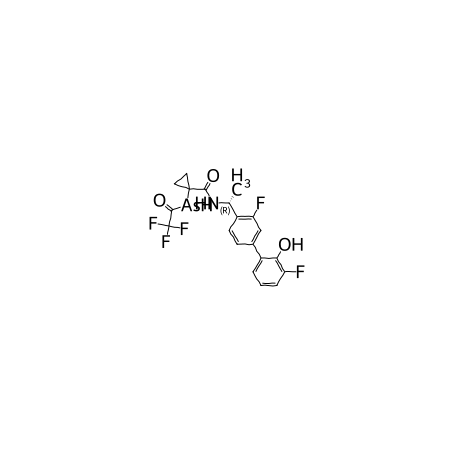 C[C@@H](NC(=O)C1([AsH]C(=O)C(F)(F)F)CC1)c1ccc(-c2cccc(F)c2O)cc1F